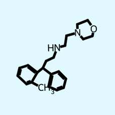 Cc1ccccc1C(CCNCCN1CCOCC1)c1ccccc1